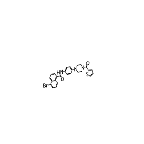 O=C(Nc1ccc(N2CCN(C(=O)c3cccs3)CC2)cc1)c1cccc2c(Br)cccc12